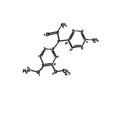 COc1ccc(C(C(C)=O)c2ccc(C)cc2)cc1OC